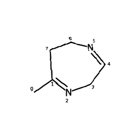 CC1=NCC=NCC1